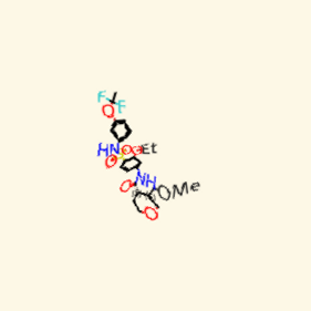 CCOc1cc(NC(=O)[C@H]2CCOC[C@@H]2COC)ccc1S(=O)(=O)Nc1cccc(OC(C)(F)F)c1